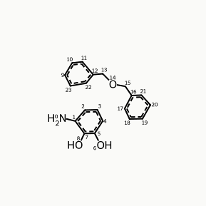 Nc1cccc(O)c1O.c1ccc(COCc2ccccc2)cc1